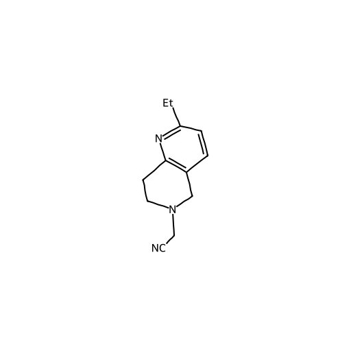 CCc1ccc2c(n1)CCN(CC#N)C2